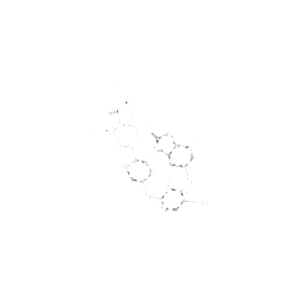 Cc1cnc(Nc2ccc(N3CCN(C(=O)C(F)(F)F)[C@H](C)C3)nc2)nc1Nc1ccc2oc(=O)[nH]c2c1